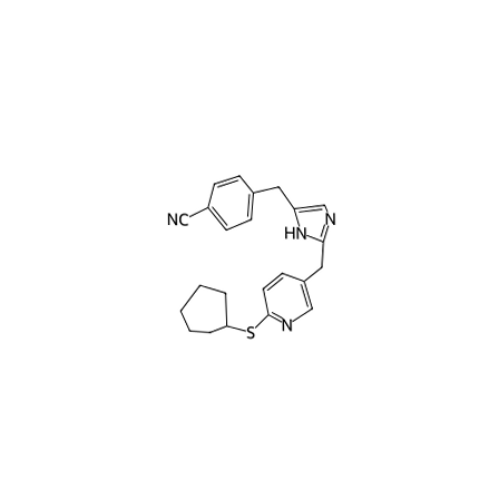 N#Cc1ccc(Cc2cnc(Cc3ccc(SC4CCCCC4)nc3)[nH]2)cc1